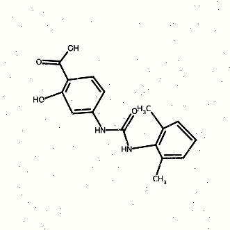 Cc1cccc(C)c1NC(=O)Nc1ccc(C(=O)O)c(O)c1